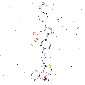 CC(C)c1ccccc1N1/C(=N/N=C/c2ccc3c(c2)S(=O)(=O)Cc2c-3ncn2-c2ccc(OC(F)(F)F)cc2)SCC1(C)O